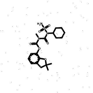 CN(C(=O)Oc1cccc2c1OC(C)(C)C2)C(=O)N(C1CCCCC1)S(N)(=O)=O